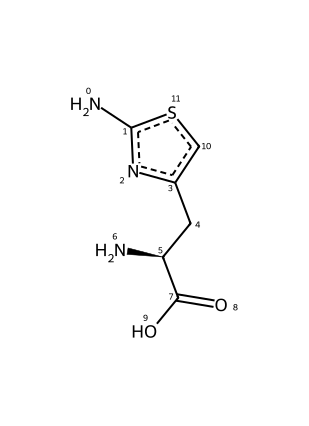 Nc1nc(C[C@H](N)C(=O)O)cs1